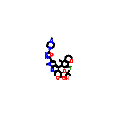 Cc1nc2c(cc(-c3nnc(N4CCN(C)CC4)o3)n2C)c(-c2cc(F)c3c(c2C)CCCO3)c1[C@H](OC(C)(C)C)C(=O)O